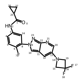 O=C(Nc1ccc(F)c(-n2cc3cc(N4CC(F)(F)C4)cnc3n2)c1)C1CC1